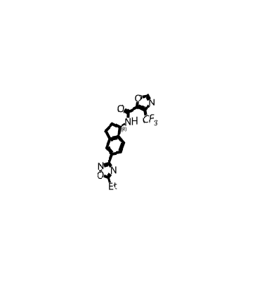 CCc1nc(-c2ccc3c(c2)CC[C@H]3NC(=O)c2ocnc2C(F)(F)F)no1